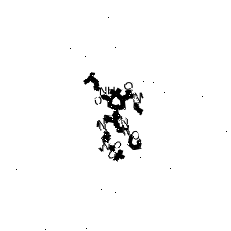 CCN(C)C(=O)C1CC(c2nn(C3CCCCO3)cc2CN(C)CCN(C)C(=O)OC(C)(C)C)CC(C(=O)NCCC(C)C)C1(C)C